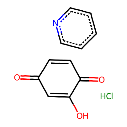 Cl.O=C1C=CC(=O)C(O)=C1.c1ccncc1